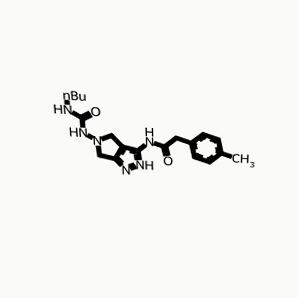 CCCCNC(=O)NN1Cc2n[nH]c(NC(=O)Cc3ccc(C)cc3)c2C1